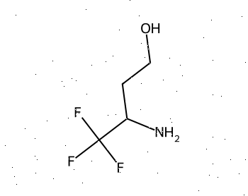 NC(CCO)C(F)(F)F